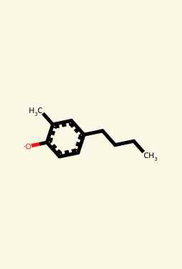 CCCCc1ccc([O])c(C)c1